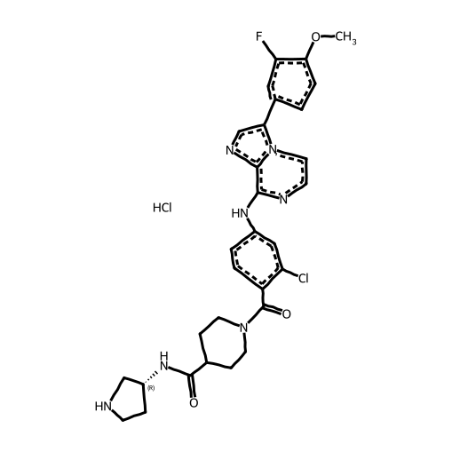 COc1ccc(-c2cnc3c(Nc4ccc(C(=O)N5CCC(C(=O)N[C@@H]6CCNC6)CC5)c(Cl)c4)nccn23)cc1F.Cl